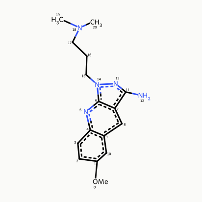 COc1ccc2nc3c(cc2c1)c(N)nn3CCCN(C)C